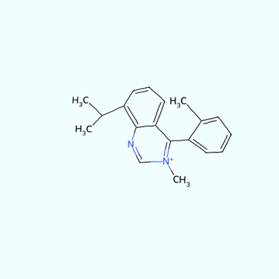 Cc1ccccc1-c1c2cccc(C(C)C)c2nc[n+]1C